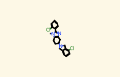 Cn1c(-c2ccccc2Cl)nc2c1CCC(N1Cc3cccc(Cl)c3C1)C2